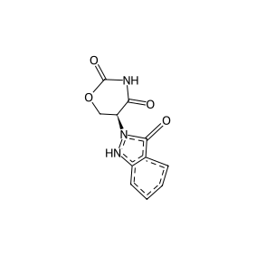 O=C1NC(=O)[C@@H](n2[nH]c3ccccc3c2=O)CO1